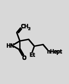 C=CC1(CC(CC)CCCCCCCC)NC1=O